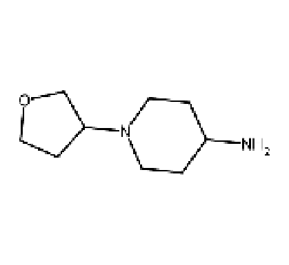 NC1CCN(C2CCOC2)CC1